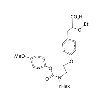 CCCCCCN(CCOc1ccc(CC(OCC)C(=O)O)cc1)C(=O)Oc1ccc(OC)cc1